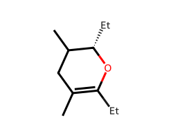 CCC1=C(C)CC(C)[C@H](CC)O1